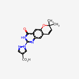 CC1(C)C=Cc2cc3nc(-n4cc(C(=O)O)cn4)[nH]c(=O)c3cc2O1